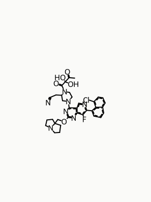 CC(=O)C(O)(O)C(=O)N1CCN(c2nc(OCC34CCCN3CCC4)nc3c(F)c(-c4cccc5cccc(Cl)c45)ncc23)CC1CC#N